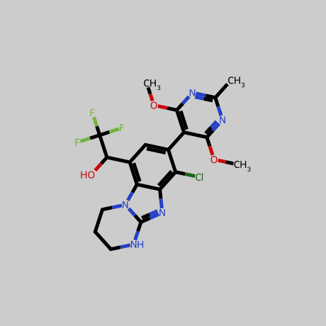 COc1nc(C)nc(OC)c1-c1cc(C(O)C(F)(F)F)c2c(nc3n2CCCN3)c1Cl